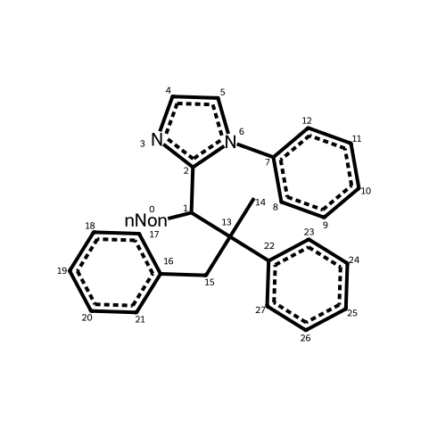 CCCCCCCCCC(c1nccn1-c1ccccc1)C(C)(Cc1ccccc1)c1ccccc1